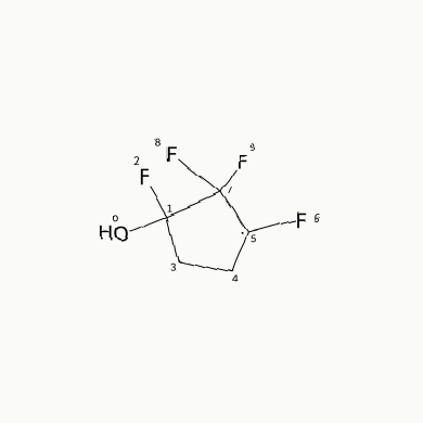 OC1(F)CC[C](F)C1(F)F